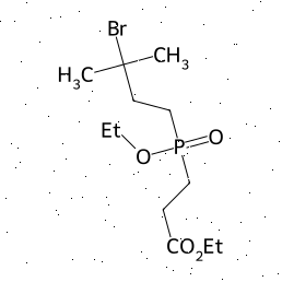 CCOC(=O)CCP(=O)(CCC(C)(C)Br)OCC